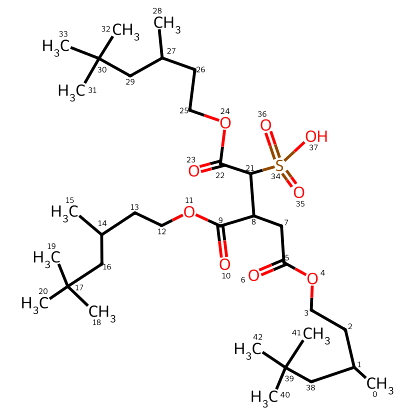 CC(CCOC(=O)CC(C(=O)OCCC(C)CC(C)(C)C)C(C(=O)OCCC(C)CC(C)(C)C)S(=O)(=O)O)CC(C)(C)C